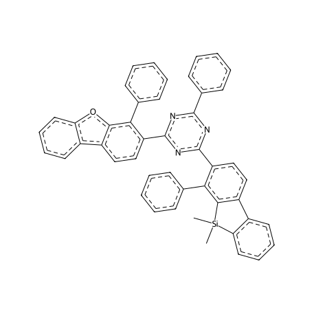 C[Si]1(C)c2ccccc2-c2ccc(-c3nc(-c4ccccc4)nc(-c4ccc5c(oc6ccccc65)c4-c4ccccc4)n3)c(-c3ccccc3)c21